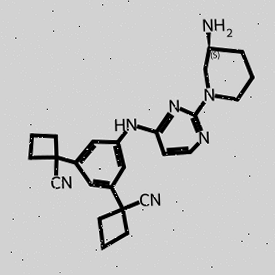 N#CC1(c2cc(Nc3ccnc(N4CCC[C@H](N)C4)n3)cc(C3(C#N)CCC3)c2)CCC1